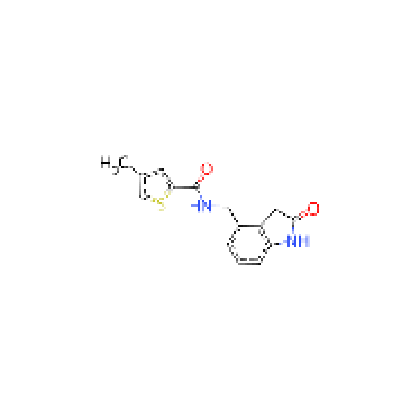 Cc1csc(C(=O)NCc2cccc3c2CC(=O)N3)c1